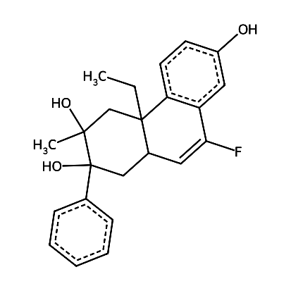 CCC12CC(C)(O)C(O)(c3ccccc3)CC1C=C(F)c1cc(O)ccc12